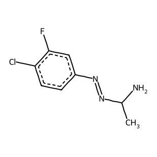 CC(N)N=Nc1ccc(Cl)c(F)c1